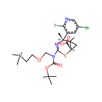 CC(C)(C)OC(=O)N(COCC[Si](C)(C)C)C1=N[C@](C)(c2cc(Br)cnc2F)C2(C)C[C@]2(C(=O)O)S1